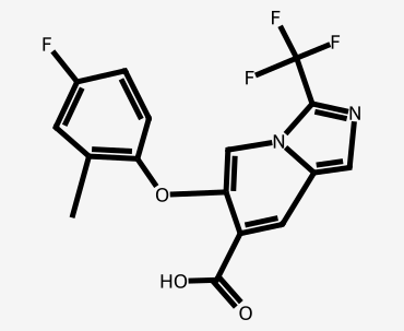 Cc1cc(F)ccc1Oc1cn2c(C(F)(F)F)ncc2cc1C(=O)O